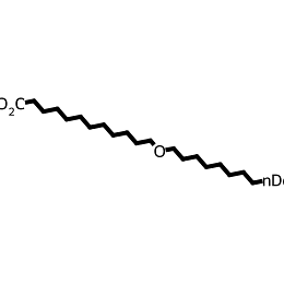 CCCCCCCCCCCCCCCCCCOCCCCCCCCCCCC(=O)O